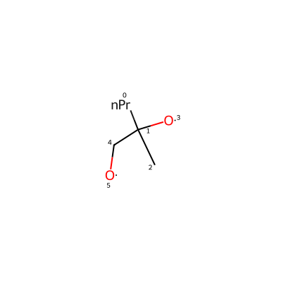 CCCC(C)([O])C[O]